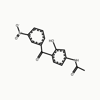 CC(=O)Nc1ccc(C(=O)c2cccc([N+](=O)[O-])c2)c(O)c1